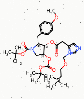 COc1ccc(C[C@@H]2[C@H](OC(=O)Cc3cncn3COCC[Si](C)(C)C)[C@@H](OC(=O)OC(C)(C)C)CN2C(=O)OC(C)(C)C)cc1